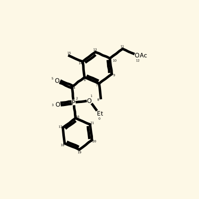 CCOP(=O)(C(=O)c1c(C)cc(COC(C)=O)cc1C)c1ccccc1